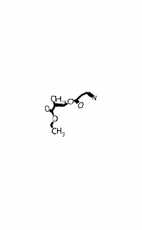 CCOC(=O)C(C)=COC(=O)CC#N